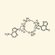 C[C@H]1[C@H]2OP(=O)(S)OC[C@H]3O[C@@H](n4ccc5c(N)ccnc54)C[C@@H]3OP(=O)(S)OC[C@H]1O[C@H]2n1ccc(=O)n2ccnc12